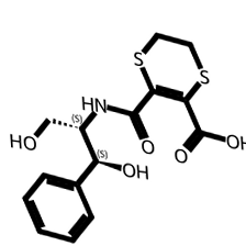 O=C(O)C1=C(C(=O)N[C@@H](CO)[C@@H](O)c2ccccc2)SCCS1